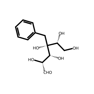 O=C[C@H](O)[C@@H](O)[C@@](O)(Cc1ccccc1)[C@H](O)CO